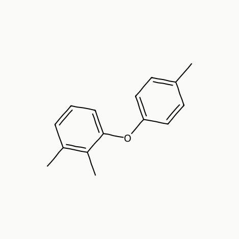 Cc1ccc(Oc2cccc(C)c2C)cc1